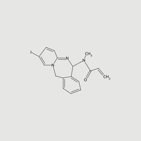 C=CC(=O)N(C)C1N=C2C=CC(I)=CN2Cc2ccccc21